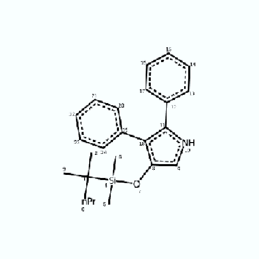 CCCC(C)(C)[Si](C)(C)Oc1c[nH]c(-c2ccccc2)c1-c1ccccc1